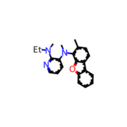 CCN(C)c1ncccc1N(C)c1c(C)ccc2c1oc1ccccc12